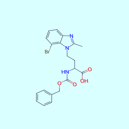 Cc1nc2cccc(Br)c2n1CCC(NC(=O)OCc1ccccc1)C(=O)O